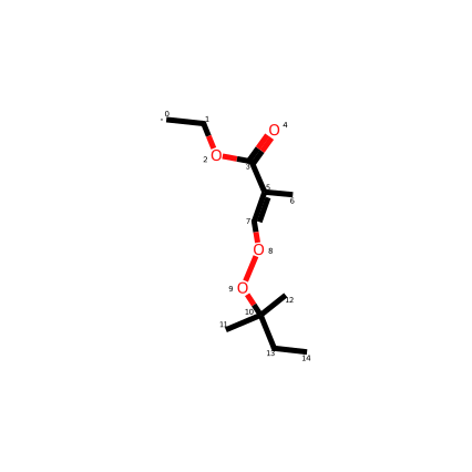 [CH2]COC(=O)C(C)=COOC(C)(C)CC